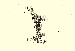 C=NCc1ccc(C(=O)ON(C=O)[C@H](CC)[C@@H](CCCCC)C(=O)NCNC(=O)c2ccc(-c3ccc(C(=O)N[C@@H](CC(=O)O)C(=O)O)c(OCC)c3)o2)cc1